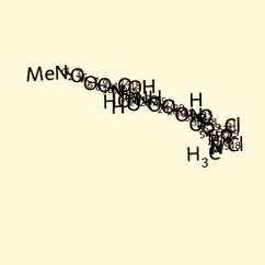 CNCCOCCOCCOCCNC(=O)C(O)C(O)C(=O)NCCOCCOCCOCCNS(=O)(=O)c1ccc([C@H]2CN(C)Cc3c(Cl)cc(Cl)cc32)cc1